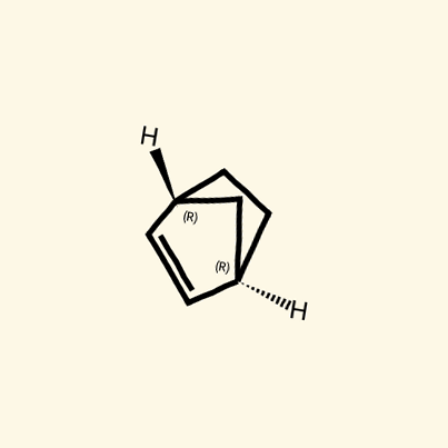 C1=C[C@@H]2CC[C@@H]1C2